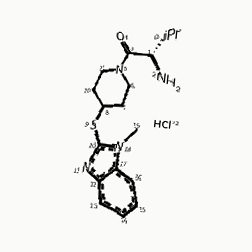 CC(C)[C@H](N)C(=O)N1CCC(Sc2nc3ccccc3n2C)CC1.Cl